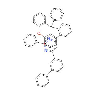 c1ccc(-c2cccc(-c3cc(-c4ccccc4C4(c5ccccc5)c5ccccc5Oc5ccccc54)nc(-c4ccccc4)n3)c2)cc1